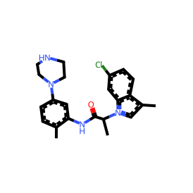 Cc1ccc(N2CCNCC2)cc1NC(=O)C(C)n1cc(C)c2ccc(Cl)cc21